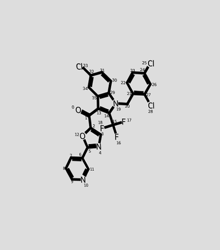 O=C(c1cnc(-c2cccnc2)o1)c1c(C(F)(F)F)n(Cc2ccc(Cl)cc2Cl)c2ccc(Cl)cc12